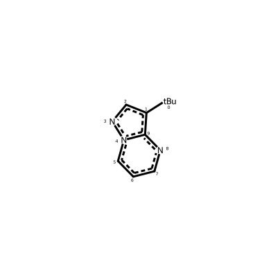 CC(C)(C)c1cnn2cccnc12